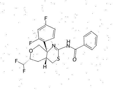 O=C(NC1=N[C@@]2(c3ccc(F)cc3F)CO[C@@H](C(F)F)C[C@H]2CS1)c1ccccc1